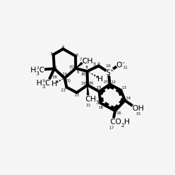 CC1(C)CCC[C@]2(C)[C@H]3C[S+]([O-])c4cc(O)c(C(=O)O)cc4[C@]3(C)CC[C@@H]12